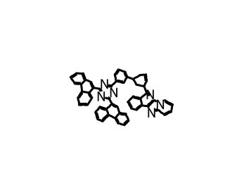 C1=CC(c2nc3c(nc4ccccn43)c3ccccc23)CC(c2cccc(-c3nc(-c4cc5ccccc5c5ccccc45)nc(-c4cc5ccccc5c5ccccc45)n3)c2)C1